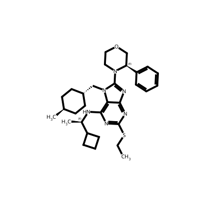 CCSc1nc(N[C@H](C)C2CCC2)c2c(n1)nc(N1CCOC[C@H]1c1ccccc1)n2C[C@H]1CC[C@H](C)CC1